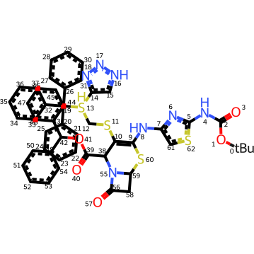 CC(C)(C)OC(=O)Nc1nc(NC2=C(SC[SH](c3c[nH]nn3)C(c3ccccc3)(c3ccccc3)c3ccccc3)C(C(=O)OC(c3ccccc3)c3ccccc3)N3C(=O)CC3S2)cs1